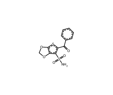 NS(=O)(=O)c1c(C(=O)c2ccccc2)sc2c1OCO2